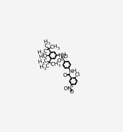 CC(C)(C)c1cc(NS(=O)(=O)c2ccc(NC(=O)c3cc([N+](=O)[O-])ccc3Cl)cc2)cc(C(C)(C)C)c1O